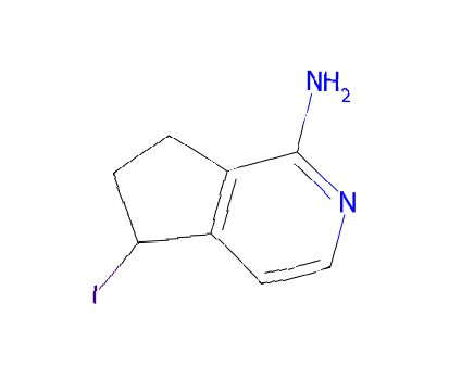 Nc1nccc2c1CCC2I